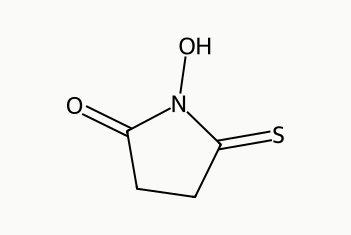 O=C1CCC(=S)N1O